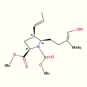 CC=C[C@@H]1C[C@H](C(=O)OC(C)(C)C)N(C(=O)OC(C)(C)C)[C@@H]1CCC(=CO)NC(C)=O